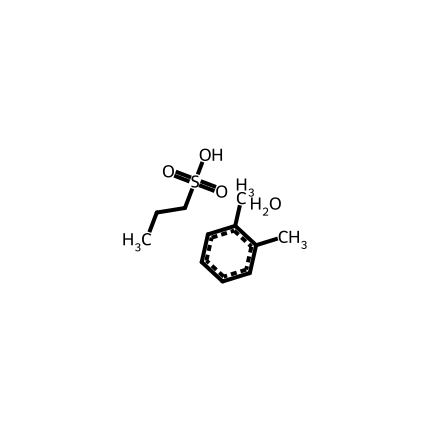 CCCS(=O)(=O)O.Cc1ccccc1C.O